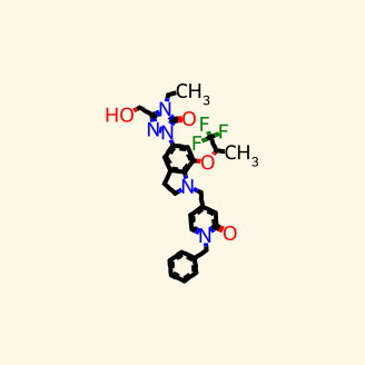 CCn1c(CO)nn(-c2cc3c(c(OC(C)C(F)(F)F)c2)N(Cc2ccn(Cc4ccccc4)c(=O)c2)CC3)c1=O